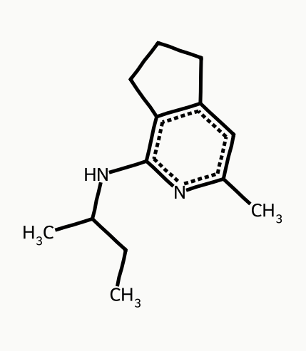 CCC(C)Nc1nc(C)cc2c1CCC2